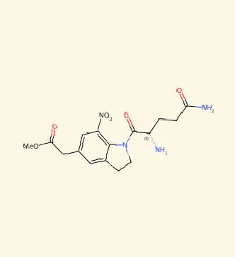 COC(=O)Cc1cc2c(c([N+](=O)[O-])c1)N(C(=O)[C@@H](N)CCC(N)=O)CC2